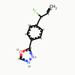 C=CC(F)c1ccc(-c2nnco2)cc1